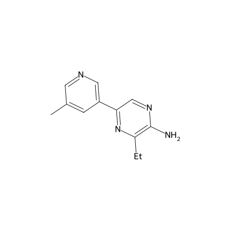 CCc1nc(-c2cncc(C)c2)cnc1N